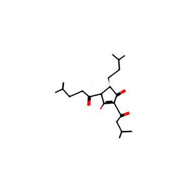 CC(C)CCC(=O)[C@]1(O)C(O)=C(C(=O)CC(C)C)C(=O)[C@@H]1CCC(C)C